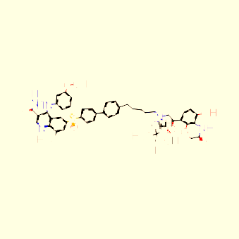 COc1cccc(Nc2c(C(N)=O)cnc3c(C)cc(S(=O)(=O)c4ccc(-c5ccc(CCCCCNCC(O[Si](C)(C)C(C)(C)C)c6ccc(O)c7c6OCC(=O)N7)cc5)cc4)cc23)c1